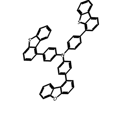 c1ccc2c(c1)oc1cccc(-c3ccc(N(c4ccc(-c5cccc6c5sc5ccccc56)cc4)c4ccc(-c5cccc6sc7ccccc7c56)cc4)cc3)c12